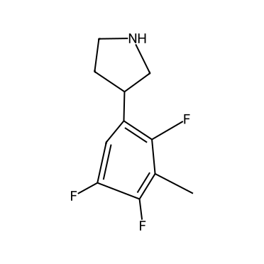 Cc1c(F)c(F)cc(C2CCNC2)c1F